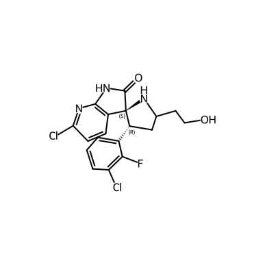 O=C1Nc2nc(Cl)ccc2[C@]12NC(CCO)C[C@@H]2c1cccc(Cl)c1F